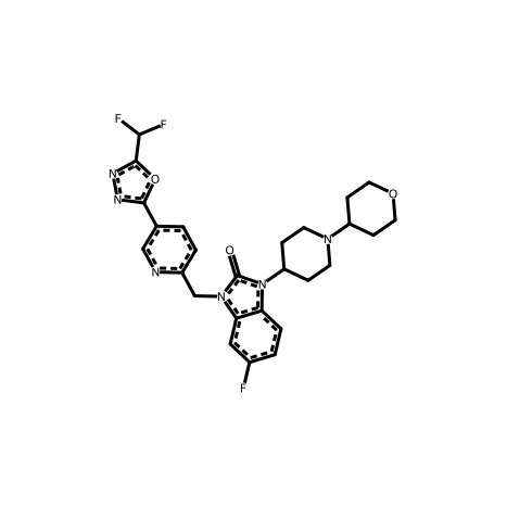 O=c1n(Cc2ccc(-c3nnc(C(F)F)o3)cn2)c2cc(F)ccc2n1C1CCN(C2CCOCC2)CC1